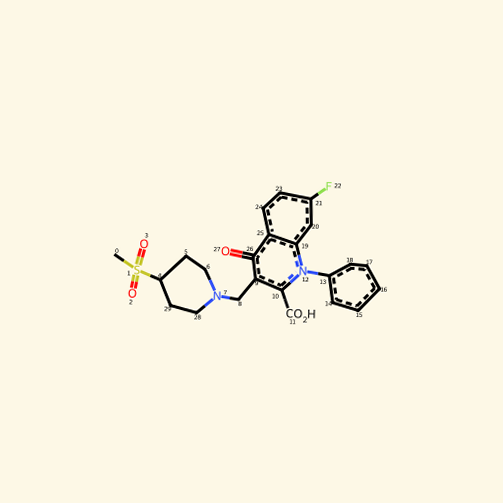 CS(=O)(=O)C1CCN(Cc2c(C(=O)O)n(-c3ccccc3)c3cc(F)ccc3c2=O)CC1